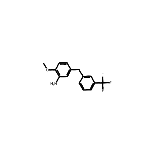 COc1ccc(Cc2cccc(C(F)(F)F)c2)cc1N